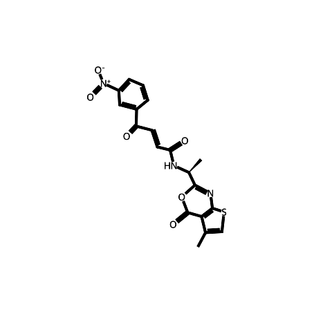 Cc1csc2nc([C@H](C)NC(=O)C=CC(=O)c3cccc([N+](=O)[O-])c3)oc(=O)c12